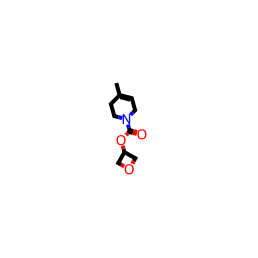 CC1=CCN(C(=O)OC2COC2)CC1